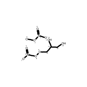 O=[N+]([O-])OCl.O=[N+]([O-])OOCC(O)CO